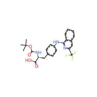 CC(C)(C)OC(=O)N[C@@H](Cc1ccc(Nc2nc(C(F)(F)F)cc3ccccc23)cc1)C(=O)O